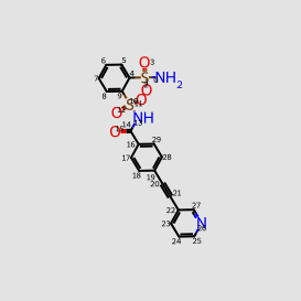 NS(=O)(=O)c1ccccc1S(=O)(=O)NC(=O)c1ccc(C#Cc2cccnc2)cc1